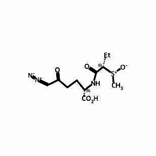 CC[C@@H](C(=O)N[C@@H](CCC(=O)C=[N+]=[N-])C(=O)O)[S+](C)[O-]